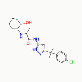 CC(NC1CCCCC1O)C(=O)Nc1cc(C(C)(C)c2ccc(Cl)cc2)n[nH]1